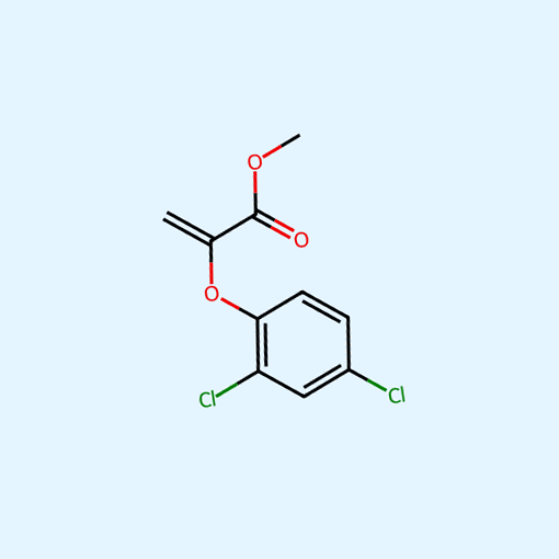 C=C(Oc1ccc(Cl)cc1Cl)C(=O)OC